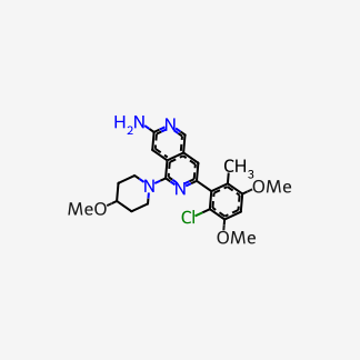 COc1cc(OC)c(Cl)c(-c2cc3cnc(N)cc3c(N3CCC(OC)CC3)n2)c1C